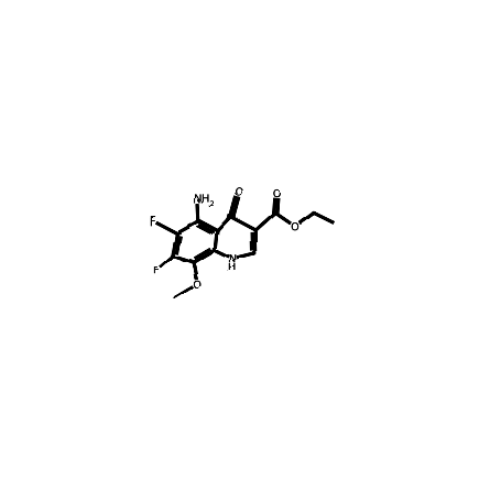 CCOC(=O)c1c[nH]c2c(OC)c(F)c(F)c(N)c2c1=O